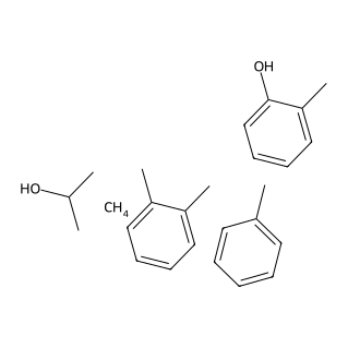 C.CC(C)O.Cc1ccccc1.Cc1ccccc1C.Cc1ccccc1O